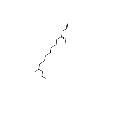 C=CCC(=CC)CCCCCCCC(C)CCC